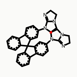 c1ccc2c(c1)-c1ccc(N3CCN4CCN=C43)cc1C21c2ccccc2-c2ccc(N3CCN4CCN=C43)cc21